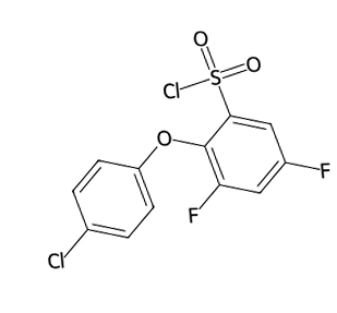 O=S(=O)(Cl)c1cc(F)cc(F)c1Oc1ccc(Cl)cc1